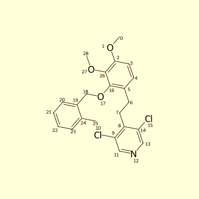 COc1ccc(CCc2c(Cl)cncc2Cl)c(OCc2ccccc2C)c1OC